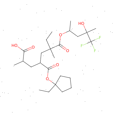 CCC1(OC(=O)C(CC(C)C(=O)O)CC(C)(CC)C(=O)OC(C)CC(C)(O)C(F)(F)F)CCCC1